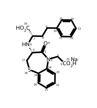 O=C(O)CN1C(=O)[C@@H](N[C@@H](CCc2ccccc2)C(=O)O)CSc2ccccc21.[Na]